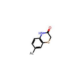 CC(=O)c1ccc2c(c1)SCC(=O)N2